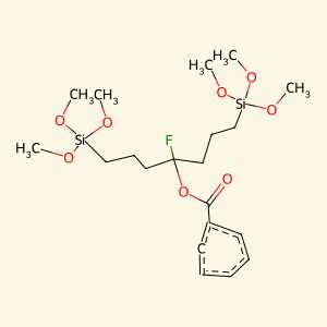 CO[Si](CCCC(F)(CCC[Si](OC)(OC)OC)OC(=O)c1ccccc1)(OC)OC